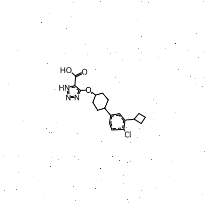 O=C(O)c1[nH]nnc1OC1CCC(c2ccc(Cl)c(C3CCC3)c2)CC1